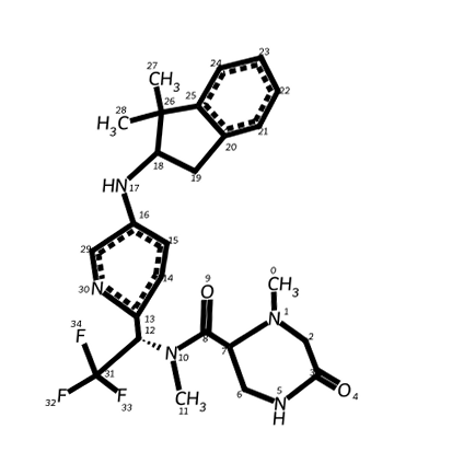 CN1CC(=O)NCC1C(=O)N(C)[C@@H](c1ccc(NC2Cc3ccccc3C2(C)C)cn1)C(F)(F)F